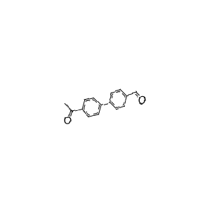 CC(=O)c1ccc(-c2ccc(C=O)cc2)cc1